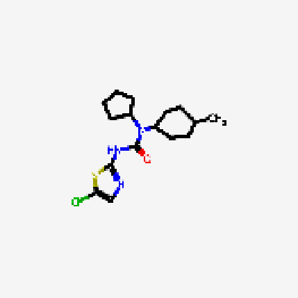 CC1CCC(N(C(=O)Nc2ncc(Cl)s2)C2CCCC2)CC1